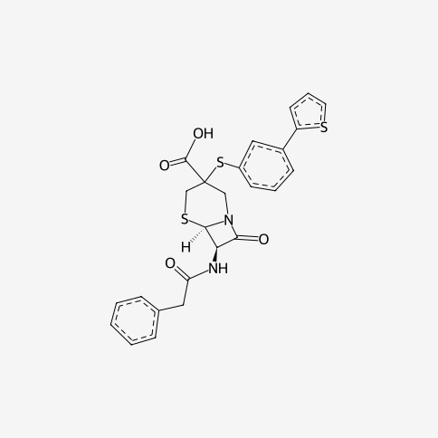 O=C(Cc1ccccc1)N[C@@H]1C(=O)N2CC(Sc3cccc(-c4cccs4)c3)(C(=O)O)CS[C@H]12